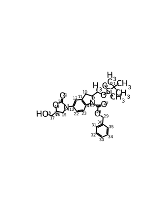 CC(C)(C)[Si](C)(C)OCC1Cc2cc(N3C[C@@H](CO)OC3=O)ccc2N1C(=O)OCc1ccccc1